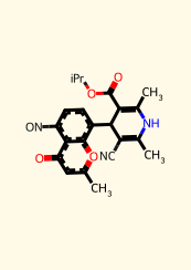 CC1=C(C#N)C(c2ccc(N=O)c3c(=O)cc(C)oc23)C(C(=O)OC(C)C)=C(C)N1